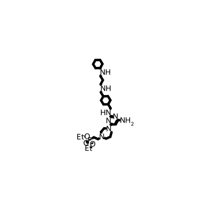 CCOP(=O)(CCN1CCCN(c2cc(N)nc(NCC3CCC(CNCCCNC4CCCCC4)CC3)n2)CC1)OCC